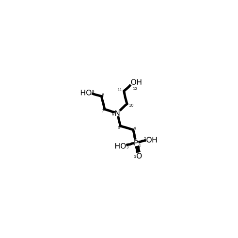 O=P(O)(O)CCN(CCO)CCO